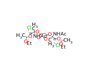 CCOC(C)O[C@H](CCl)C(C)(NC(C)=O)OC(=O)CC(=O)OC(C)(NC(C)=O)[C@@H](CCl)OC(C)OCC